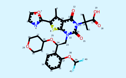 Cc1c(-c2ncco2)sc2c1c(=O)n(C(C)(C)C(=O)O)c(=O)n2C[C@H](OC1CCOCC1)c1ccccc1OC(F)F